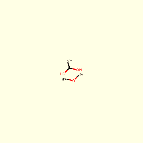 CC(C)OC(C)C.CCCC(O)O